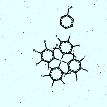 Fc1c(F)c(F)[c]([Al-]([c]2c(F)c(F)c(F)c(F)c2F)([c]2c(F)c(F)c(F)c(F)c2F)[c]2c(F)c(F)c(F)c(F)c2F)c(F)c1F.[CH]c1ccccc1